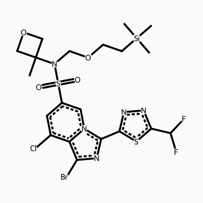 CC1(N(COCC[Si](C)(C)C)S(=O)(=O)c2cc(Cl)c3c(Br)nc(-c4nnc(C(F)F)s4)n3c2)COC1